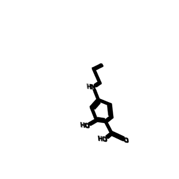 CCCNc1ccc(C(=O)O)c(O)c1